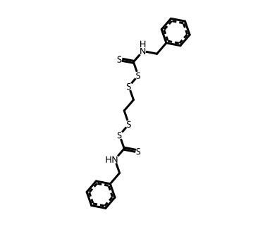 S=C(NCc1ccccc1)SSCCSSC(=S)NCc1ccccc1